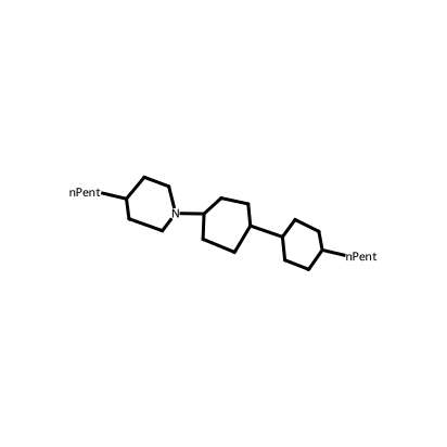 CCCCCC1CCC(C2CCC(N3CCC(CCCCC)CC3)CC2)CC1